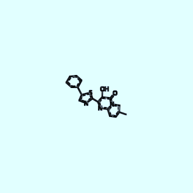 Cc1ccc2nc(-c3ncc(-c4ccccc4)s3)c(O)c(=O)n2c1